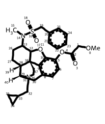 COCC(=O)Oc1ccc2c3c1OC1C(N(C)S(=O)(=O)Cc4ccccc4)CC[C@H]4[C@@H](C2)N(CC2CC2)CC[C@]314